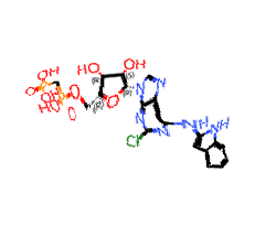 O=P(O)(O)CP(=O)(O)OC[C@H]1O[C@@H](n2cnc3c(Nc4cc5ccccc5[nH]4)nc(Cl)nc32)[C@@H](O)[C@H]1O